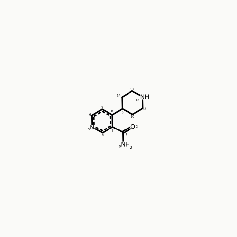 NC(=O)c1cnccc1C1CCNCC1